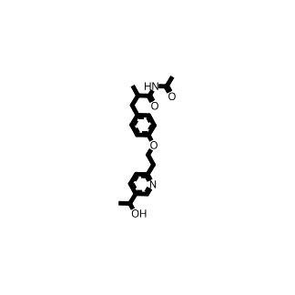 CC(=O)NC(=O)C(C)Cc1ccc(OCCc2ccc(C(C)O)cn2)cc1